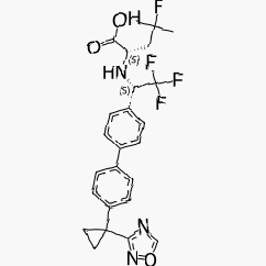 CC(C)(F)C[C@H](N[C@@H](c1ccc(-c2ccc(C3(c4ncon4)CC3)cc2)cc1)C(F)(F)F)C(=O)O